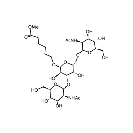 COC(=O)CCCCCO[C@H]1O[C@H](CO[C@@H]2O[C@H](CO)[C@@H](O)[C@H](O)[C@@H]2NC(C)=O)[C@H](O)[C@H](O[C@@H]2O[C@H](CO)[C@@H](O)[C@H](O)[C@@H]2NC(C)=O)[C@H]1O